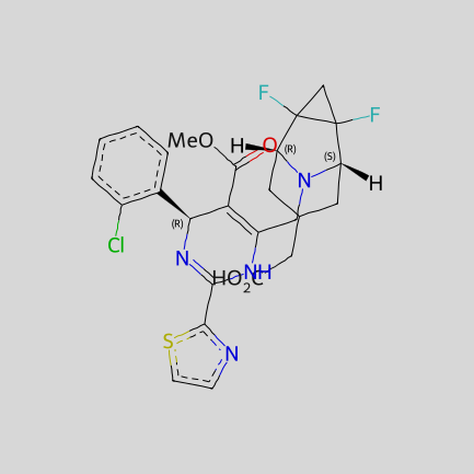 COC(=O)C1=C(CN2[C@H]3CC(CC(=O)O)C[C@@H]2C2(F)CC32F)NC(c2nccs2)=N[C@H]1c1ccccc1Cl